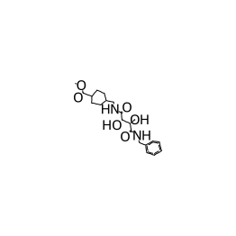 COC(=O)C1CCC(CNC(=O)[C@H](O)[C@@H](O)C(=O)NCc2ccccc2)CC1